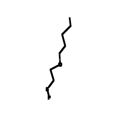 CCCCCOCCSF